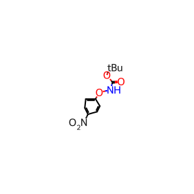 CC(C)(C)OC(=O)NOc1ccc([N+](=O)[O-])cc1